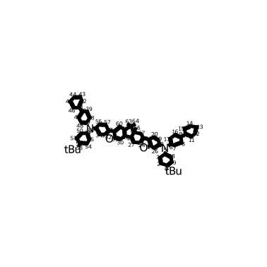 CC(C)(C)c1ccc(N(c2ccc(-c3ccccc3)cc2)c2ccc3c4c(oc3c2)C=C2c3cc5oc6cc(N(c7ccc(-c8ccccc8)cc7)c7ccc(C(C)(C)C)cc7)ccc6c5cc3C(C)(C)C2(C)C4)cc1